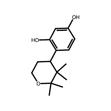 CC1(C)OCCC(c2ccc(O)cc2O)C1(C)C